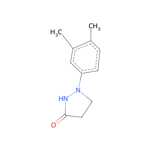 Cc1ccc(N2CCC(=O)N2)cc1C